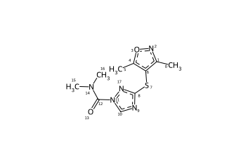 Cc1noc(C)c1Sc1ncn(C(=O)N(C)C)n1